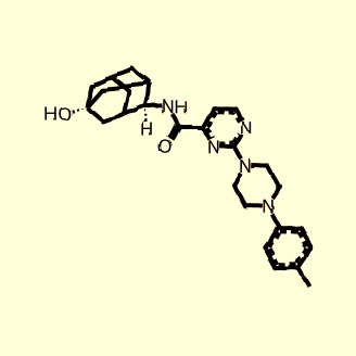 Cc1ccc(N2CCN(c3nccc(C(=O)N[C@H]4C5CC6CC4C[C@](O)(C6)C5)n3)CC2)cc1